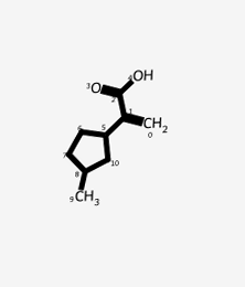 C=C(C(=O)O)C1CCC(C)C1